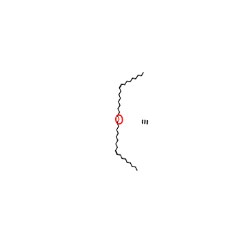 C=C.C=C.C=C.CCCCCCCC/C=C\CCCCCCCCOCCCCCCCC/C=C\CCCCCCCC